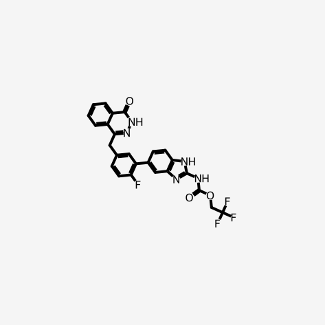 O=C(Nc1nc2cc(-c3cc(Cc4n[nH]c(=O)c5ccccc45)ccc3F)ccc2[nH]1)OCC(F)(F)F